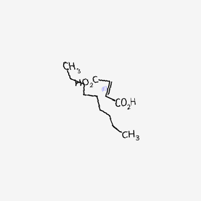 CCCCCCCCC.O=C(O)/C=C/C(=O)O